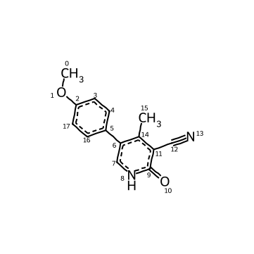 COc1ccc(-c2c[nH]c(=O)c(C#N)c2C)cc1